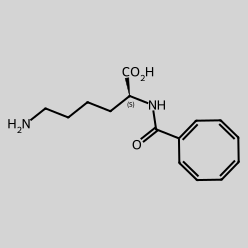 NCCCC[C@H](NC(=O)C1=CC=CC=CC=C1)C(=O)O